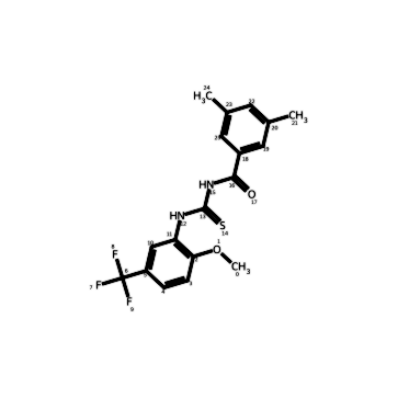 COc1ccc(C(F)(F)F)cc1NC(=S)NC(=O)c1cc(C)cc(C)c1